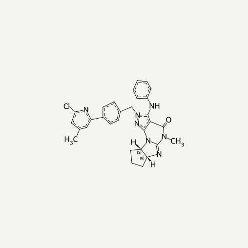 Cc1cc(Cl)nc(-c2ccc(Cn3nc4c(c3Nc3ccccc3)C(=O)N(C)C3=N[C@@H]5CCC[C@@H]5N34)cc2)c1